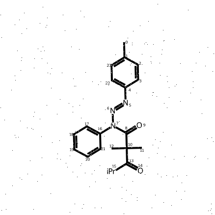 Cc1ccc(/N=N/N(C(=O)C(C)(C)C(=O)C(C)C)c2ccccc2)cc1